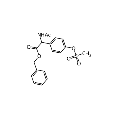 CC(=O)NC(C(=O)OCc1ccccc1)c1ccc(OS(C)(=O)=O)cc1